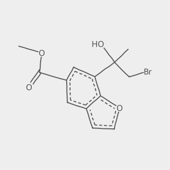 COC(=O)c1cc(C(C)(O)CBr)c2occc2c1